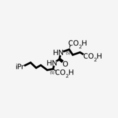 CC(C)CCCC[C@H](NC(=O)N[C@@H](CCC(=O)O)C(=O)O)C(=O)O